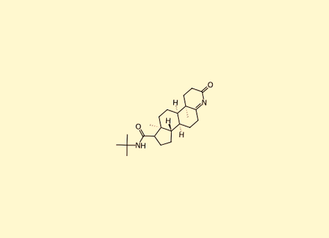 CC(C)(C)NC(=O)C1CC[C@H]2[C@@H]3CCC4=NC(=O)CC[C@]4(C)[C@@H]3CC[C@]12C